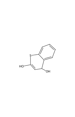 OC1=CC(O)c2ccccc2S1